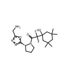 CC1(C)CC(C)(C)CC(O)(C(F)(F)C(=O)N2CCC[C@H]2c2nnc(CN)o2)C1